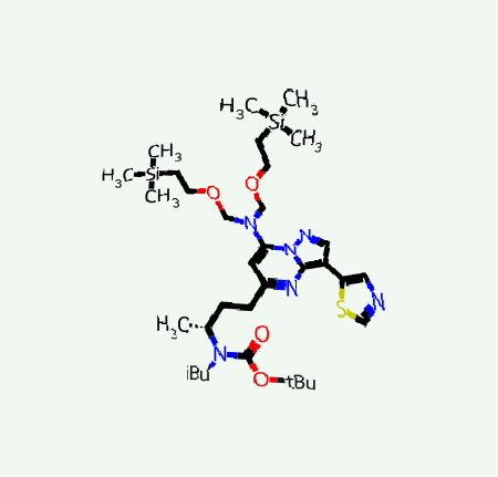 CC[C@H](C)N(C(=O)OC(C)(C)C)[C@H](C)CCc1cc(N(COCC[Si](C)(C)C)COCC[Si](C)(C)C)n2ncc(-c3cncs3)c2n1